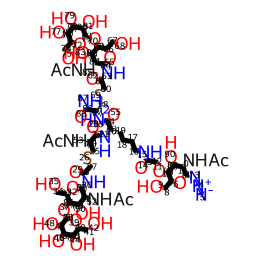 CC(=O)NC1[C@H](N=[N+]=[N-])OC(CO)[C@@H](OCC(=O)NCCCC[C@H](NC(=O)[C@H](CSCC(=O)N[C@@H]2OC(CO)[C@@H](O[C@@H]3OC(CO)[C@H](O)[C@H](O)C3O)[C@H](O)C2NC(C)=O)NC(C)=O)C(=O)N[C@@H](CSCC(=O)N[C@@H]2OC(CO)[C@@H](O[C@@H]3OC(CO)[C@H](O)[C@H](O)C3O)[C@H](O)C2NC(C)=O)C(N)=O)[C@@H]1O